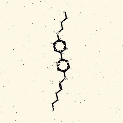 CCCC/C=C/Oc1cnc(-c2ccc(OCCCC)cc2)nc1